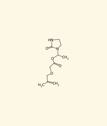 C=C(C)COCC(=O)OC(C)N1CCNC1=O